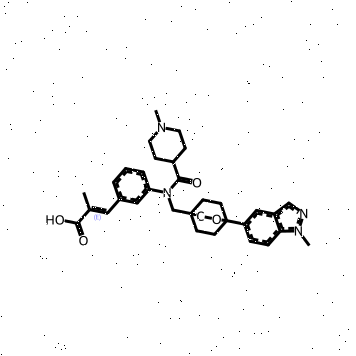 C/C(=C\c1cccc(N(CC23CCC(c4ccc5c(cnn5C)c4)(CC2)OC3)C(=O)C2CCN(C)CC2)c1)C(=O)O